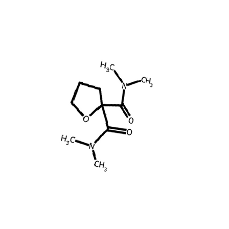 CN(C)C(=O)C1(C(=O)N(C)C)CCCO1